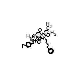 CC(C)C[C@H]1C(=O)N(CCSCc2ccccc2)C[C@H]2N1C(=O)CN(C)N2C(=O)NCc1ccc(F)cc1